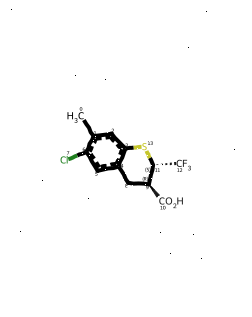 Cc1cc2c(cc1Cl)C[C@H](C(=O)O)[C@@H](C(F)(F)F)S2